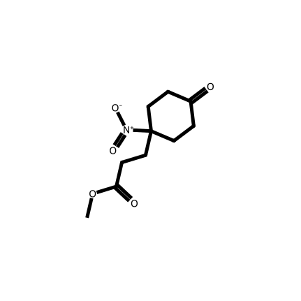 COC(=O)CCC1([N+](=O)[O-])CCC(=O)CC1